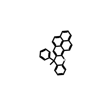 CC1(c2ccccc2)c2ccccc2Oc2c1cc1ccc3cccc4ccc2c1c34